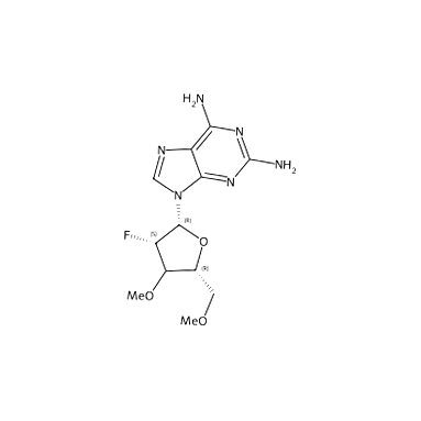 COC[C@H]1O[C@@H](n2cnc3c(N)nc(N)nc32)[C@@H](F)C1OC